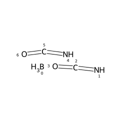 B.N=C=O.N=C=O